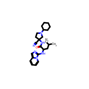 CC(C)CC(Nc1ncc2ccccn12)C(=O)NC1(C#N)CCN(C2CCCCC2)C1